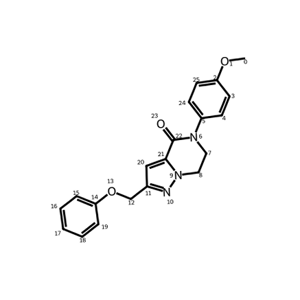 COc1ccc(N2CCn3nc(COc4ccccc4)cc3C2=O)cc1